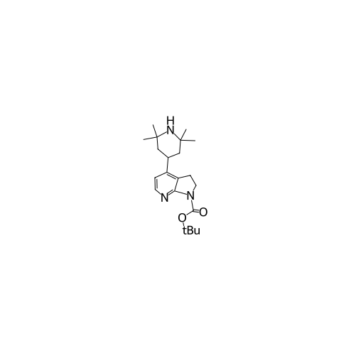 CC1(C)CC(c2ccnc3c2CCN3C(=O)OC(C)(C)C)CC(C)(C)N1